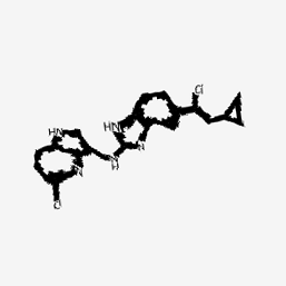 ClC(=CC1CC1)c1ccc2[nH]c(Nc3c[nH]c4ccc(Cl)nc34)nc2c1